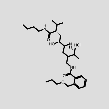 CCCCNC(=O)[C@@H](C[C@H](O)C(N)CC(CNC(=O)c1ccccc1COCCC)C(C)C)C(C)C.Cl